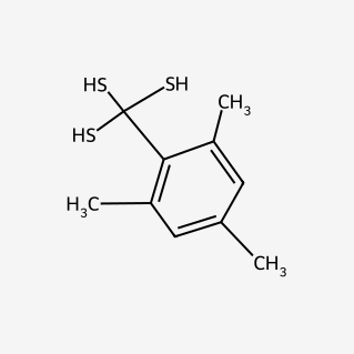 Cc1cc(C)c(C(S)(S)S)c(C)c1